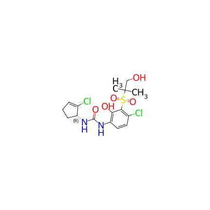 CC(C)(CO)S(=O)(=O)c1c(Cl)ccc(NC(=O)N[C@@H]2CCC=C2Cl)c1O